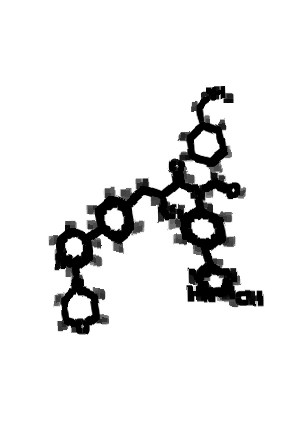 Cl.NC[C@H]1CC[C@H](C(=O)N(C(=O)[C@@H](N)Cc2ccc(-c3ccnc(N4CCOCC4)c3)cc2)c2ccc(-c3nn[nH]n3)cc2)CC1